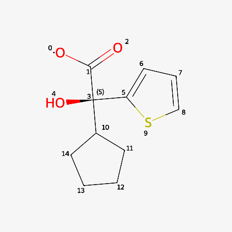 [O]C(=O)[C@](O)(c1cccs1)C1CCCC1